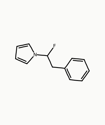 FC(Cc1ccccc1)n1cccc1